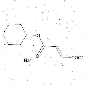 O=C([O-])C=CC(=O)OC1CCCCC1.[Na+]